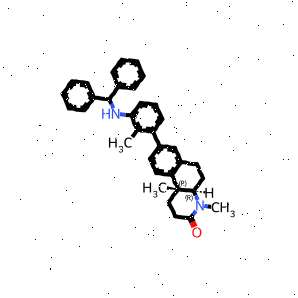 Cc1c(NC(c2ccccc2)c2ccccc2)cccc1-c1ccc2c(c1)CC[C@H]1N(C)C(=O)CC[C@]21C